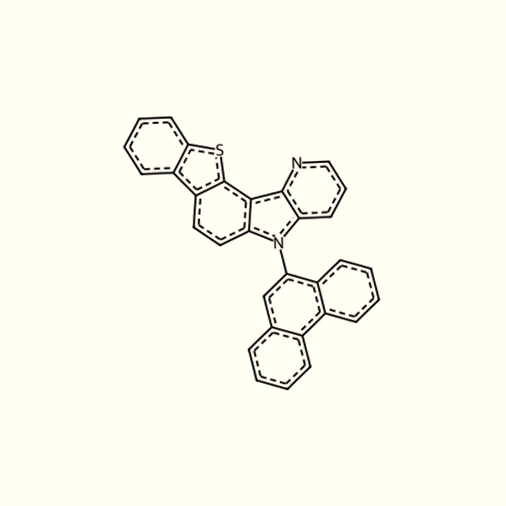 c1ccc2c(c1)cc(-n1c3cccnc3c3c4sc5ccccc5c4ccc31)c1ccccc12